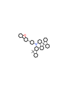 CC1(C)c2ccccc2-c2ccc(N(c3ccc(-c4ccc5c(c4)oc4ccccc45)cc3)c3cccc4c3-c3ccccc3C43c4ccccc4-c4ccccc43)cc21